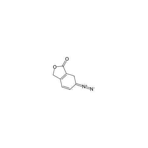 [N-]=[N+]=C1C=CC2=C(C1)C(=O)OC2